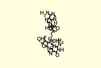 Nc1nc2c(ncn2[C@@H]2O[C@H](CO)[C@H](F)[C@H]2P(O)(=S)OCC[C@@]23CO[C@@H]([C@H](n4cnc5c(N)ncnc54)O2)[C@@H]3O)c(=O)[nH]1